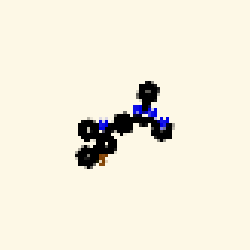 c1ccc(-c2nc(-c3ccc(-c4nc5ccccc5c5c4ccc4sc6ccccc6c45)cc3)cc(-c3ccccn3)n2)cc1